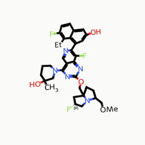 CCc1c(F)ccc2cc(O)cc(-c3ncc4c(N5CCCC(C)(O)C5)nc(OCC56CCC(COC)N5C[C@H](F)C6)nc4c3F)c12